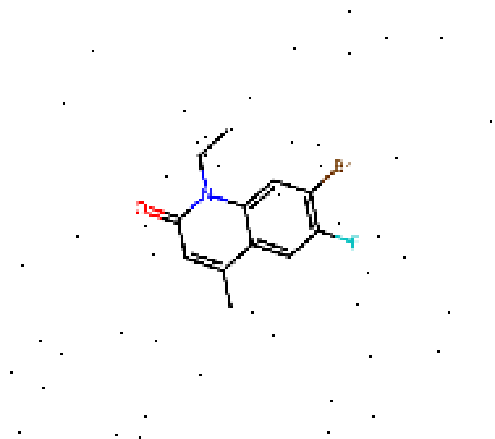 CCn1c(=O)cc(C)c2cc(F)c(Br)cc21